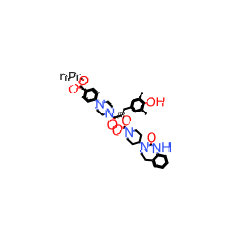 CCCOC(=O)c1ccc(N2CCN(C(=O)[C@@H](Cc3cc(C)c(O)c(C)c3)OC(=O)N3CCC(N4CCc5ccccc5NC4=O)CC3)CC2)cc1